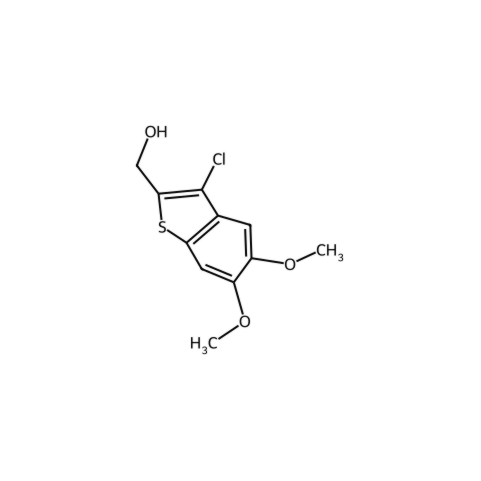 COc1cc2sc(CO)c(Cl)c2cc1OC